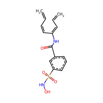 C=C/C=C\C(=C/C=C)NC(=O)c1cccc(S(=O)(=O)NO)c1